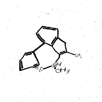 CC1=C([SiH](C)C)c2c(cccc2-c2ccccc2)C1